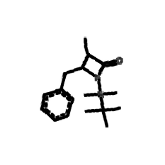 CC1C(=O)N([Si](C)(C)C(C)(C)C)C1Cc1ccccc1